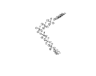 [O-][Si]([O-])([O-])F.[O-][Si]([O-])([O-])F.[O-][Si]([O-])([O-])F.[O-][Si]([O-])([O-])F.[O-][Si]([O-])([O-])F.[O-][Si]([O-])([O-])F.[Zn+2].[Zn+2].[Zn+2].[Zn+2].[Zn+2].[Zn+2].[Zn+2].[Zn+2].[Zn+2]